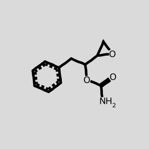 NC(=O)OC(Cc1ccccc1)C1CO1